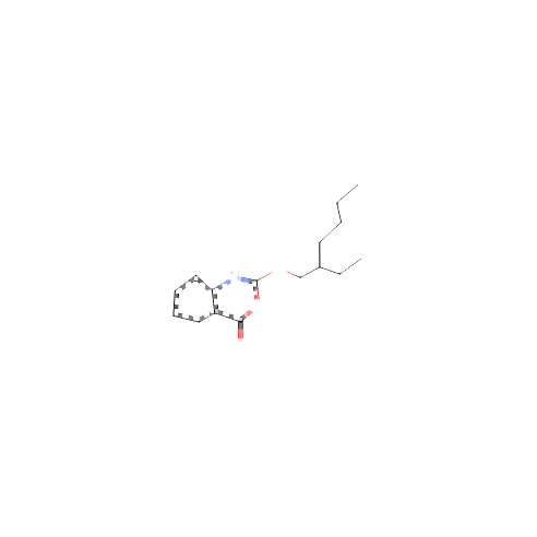 CCCCC(CC)COc1nc2ccccc2c(=O)o1